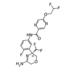 NC1=N[C@@](c2cc(NC(=O)c3cnc(OCC(F)F)cn3)ccc2F)(C(F)F)COC1